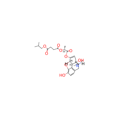 CC(C)COC(=O)CCC(=O)O[C@@H](C)C(=O)OC1=CC[C@@]2(O)[C@H]3Cc4ccc(O)c5c4[C@@]2(CCN3C)[C@H]1O5